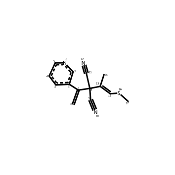 C=C(c1cccnc1)C(C#N)(C#N)/C(C)=C/SC